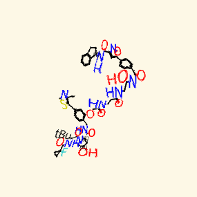 Cc1ncsc1-c1ccc(CNC(=O)[C@@H]2C[C@@H](O)CN2C(=O)C(NC(=O)C2(F)CC2)C(C)(C)C)c(OCC(=O)NCCC(=O)NCCN(C)C(=O)c2ccc(-c3cc(C(=O)N[C@@H]4CCc5ccccc54)no3)cc2O)c1